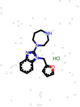 Cl.c1coc(Cn2c(N3CCCNCC3)nc3ccccc32)c1